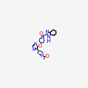 CC(=O)N1CCC(c2nccnc2OC2CCN(C(=O)c3nc4ccccc4[nH]3)CC2)CC1